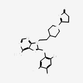 Nc1ncnc2c1nc(Sc1cc(O)c(O)cc1Br)n2CCC1CCN(C2=NC(=O)CC2)CC1